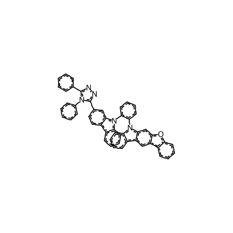 c1ccc(-c2nnc(-c3ccc4c5ccccc5n(-c5ccccc5-n5c6ccccc6c6cc7c(cc65)oc5ccccc57)c4c3)n2-c2ccccc2)cc1